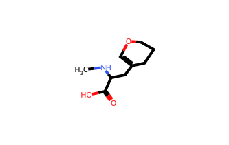 CNC(CC1=COCCC1)C(=O)O